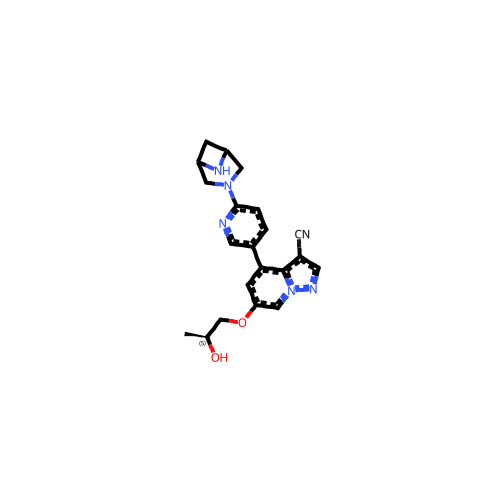 C[C@H](O)COc1cc(-c2ccc(N3CC4CC(C3)N4)nc2)c2c(C#N)cnn2c1